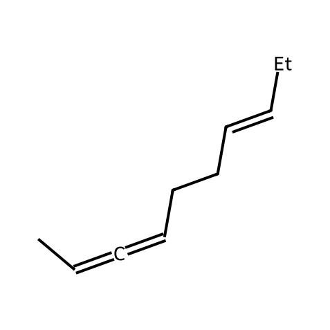 CC=C=CCCC=CCC